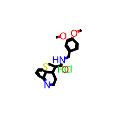 COc1ccc(CNC(=O)C2CSC34C=CC=CC3=NCCC24)cc1OC.Cl